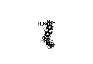 COc1c(-c2ccc(S(=O)(=O)NC3CC(O)(C(F)(F)F)C3)cc2C)ccc2[nH]nc(N)c12